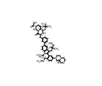 CCn1c(-c2cc(N3CCN4CCOC[C@@H]4C3)cnc2C(C)OC)c(CC(C)(C)CO)c2cc(-c3cccc(CC(NC(=O)OC(C)(C)C)C(=O)N4CCC[C@@H](C(=O)O)N4)c3)ccc21